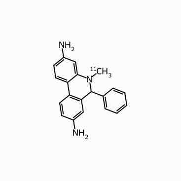 [11CH3]N1c2cc(N)ccc2-c2ccc(N)cc2C1c1ccccc1